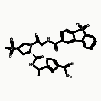 C[C@@H](NC(=O)[C@@H]1C[C@@H](S(C)(=O)=O)CN1C(=O)CNC(=O)c1ccc2c(c1)-c1ccccc1S2(=O)=O)c1cc(C(=N)N)cs1